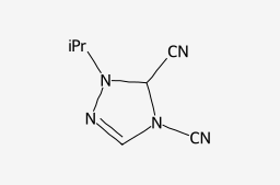 CC(C)N1N=CN(C#N)C1C#N